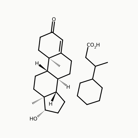 CC(CC(=O)O)C1CCCCC1.C[C@]12CC[C@H]3[C@@H](CCC4=CC(=O)CC[C@@]43C)[C@@H]1CC[C@@H]2O